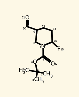 CC(C)(C)OC(=O)N1CC(C=O)CCC1F